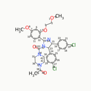 COCCOc1cc(OC)ccc1C1=NC(c2ccc(Cl)cc2)C(c2ccc(Cl)cc2)N1C(=O)N1CCN(C(C)=O)CC1